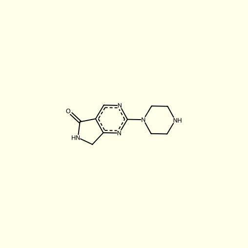 O=C1NCc2nc(N3CCNCC3)ncc21